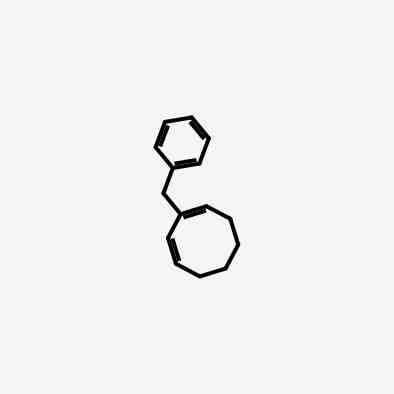 C1=CC(Cc2ccccc2)=CCCCC1